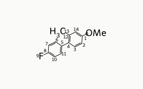 COc1ccc(-c2ccc(F)cc2)c(C)c1